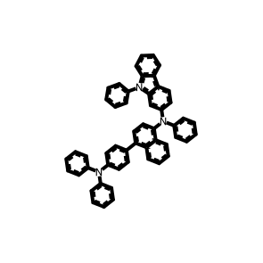 c1ccc(N(c2ccccc2)c2ccc(-c3ccc(N(c4ccccc4)c4ccc5c6ccccc6n(-c6ccccc6)c5c4)c4ccccc34)cc2)cc1